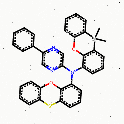 C[Si]1(C)c2ccccc2Oc2c(N(c3cnc(-c4ccccc4)cn3)c3cccc4c3Oc3ccccc3S4)cccc21